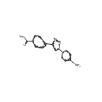 Nc1ccc(-n2cc(-c3ccc(C(=O)O)cc3)nn2)cc1